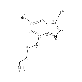 NCCCNc1nc(Br)cn2c(I)cnc12